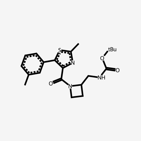 Cc1cccc(-c2sc(C)nc2C(=O)N2CCC2CNC(=O)OC(C)(C)C)c1